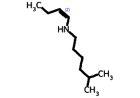 CC/C=C\NCCCCC(C)C